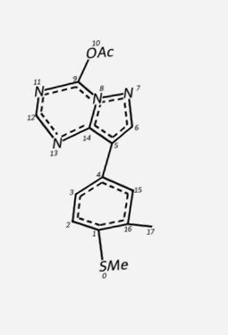 CSc1ccc(-c2cnn3c(OC(C)=O)ncnc23)cc1C